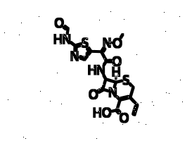 C=CC1=C(C(=O)O)N2C(=O)C(NC(=O)/C(=N\OC)c3cnc(NC=O)s3)[C@H]2SC1